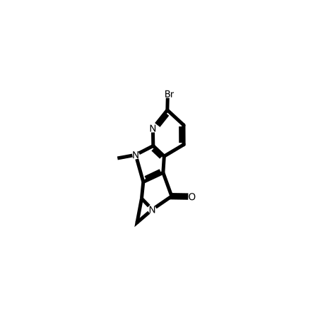 Cn1c2c(c3ccc(Br)nc31)C(=O)N1CC21